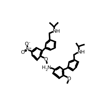 COc1ccc(N)cc1-c1cccc(CNC(C)C)c1.COc1ccc([N+](=O)[O-])cc1-c1cccc(CNC(C)C)c1